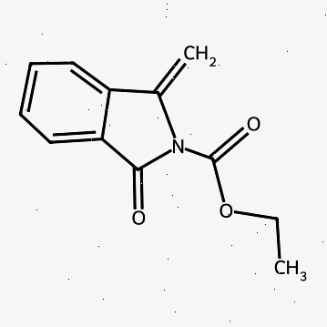 C=C1c2ccccc2C(=O)N1C(=O)OCC